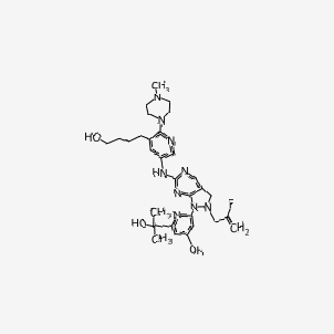 C=C(F)CN1Cc2cnc(Nc3cnc(N4CCN(C)CC4)c(CCCCO)c3)nc2N1c1cc(O)cc(C(C)(C)O)n1